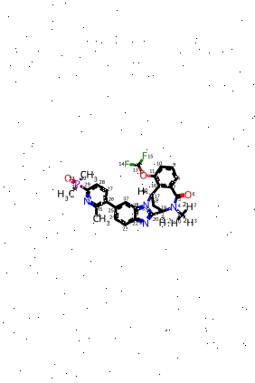 [2H]C([2H])([2H])N1C(=O)c2cccc(OC(F)F)c2[C@H]2C[C@@H]1c1nc3ccc(-c4ccc(P(C)(C)=O)nc4C)cc3n12